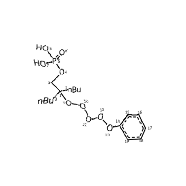 CCCCC(CCCC)(COP(=O)(O)O)OOOOOc1ccccc1